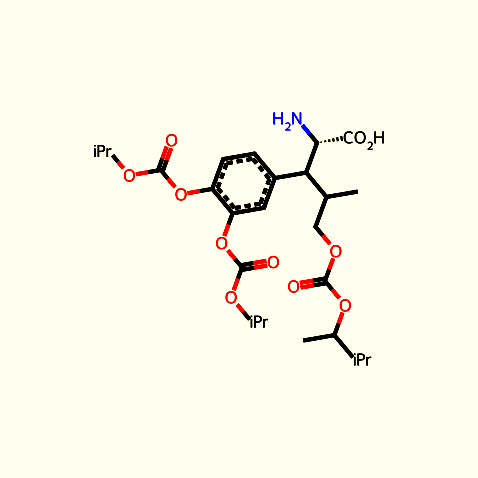 CC(C)OC(=O)Oc1ccc(C(C(C)COC(=O)OC(C)C(C)C)[C@H](N)C(=O)O)cc1OC(=O)OC(C)C